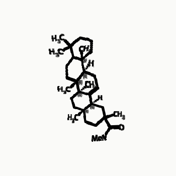 CNC(=O)C1(C)CC[C@]2(C)CC[C@]3(C)C(=CC[C@@H]4[C@@]5(C)CCCC(C)(C)C5CC[C@]43C)[C@H]2C1